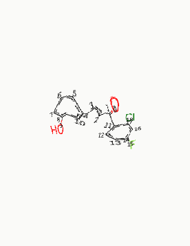 O=C(/C=C/c1cccc(O)c1)c1ccc(F)cc1Cl